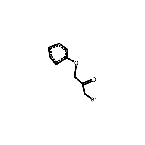 O=C(CBr)COc1ccccc1